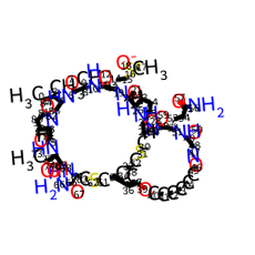 CC[C@H](C)[C@@H]1NC(=O)[C@H](C)NC(=O)[C@H](CC[S+](C)[O-])NC(=O)[C@@H]2CCCN2C(=O)[C@@H]2CSCc3cc(cc(c3)OCCCCCCO/N=C/C(=O)N[C@@H](CCC(N)=O)C(=O)N2)CSC[C@@H](C(N)=O)NC(=O)[C@H]([C@@H](C)O)NC(=O)[C@@H]2CCCN2C1=O